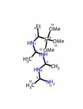 CCC(NC(C)NC(C)NC(C)N)[Si](OC)(OC)OC